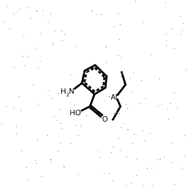 C[CH2][Al][CH2]C.Nc1ccccc1C(=O)O